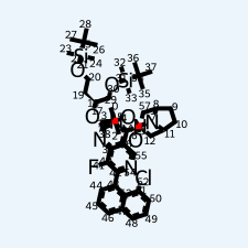 CC(C)(C)OC(=O)N1C2CCC1CN(c1nc(O[C@@H](CCO[Si](C)(C)C(C)(C)C)CO[Si](C)(C)C(C)(C)C)nc3c(F)c(-c4cccc5cccc(Cl)c45)ncc13)C2